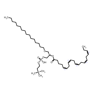 CC/C=C\C/C=C\C/C=C\C/C=C\C/C=C\CCCC(=O)O[C@H](COCCCCCCCCCCCCCCCC)COP(=O)(O)OCC[N+](C)(C)C